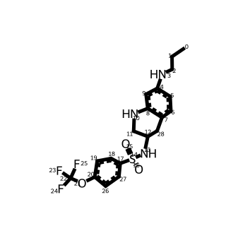 CCCNc1ccc2c(c1)NCC(NS(=O)(=O)c1ccc(OC(F)(F)F)cc1)C2